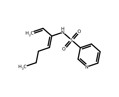 C=CC(=CCCC)NS(=O)(=O)c1cccnc1